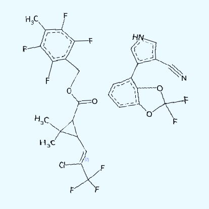 Cc1c(F)c(F)c(COC(=O)C2C(/C=C(\Cl)C(F)(F)F)C2(C)C)c(F)c1F.N#Cc1c[nH]cc1-c1cccc2c1OC(F)(F)O2